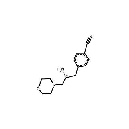 N#Cc1ccc(C[C@@H](N)CN2CCOCC2)cc1